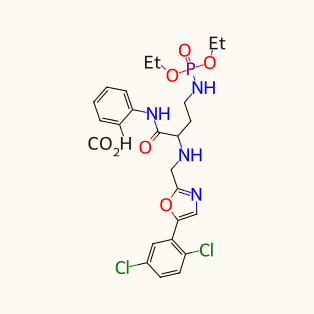 CCOP(=O)(NCCC(NCc1ncc(-c2cc(Cl)ccc2Cl)o1)C(=O)Nc1ccccc1C(=O)O)OCC